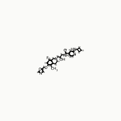 Cc1c(OCc2cnco2)cc(F)c2c1CCN(CC(O)CNC(=O)c1ccnc(NC3CCC3)c1)C2